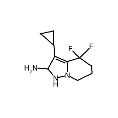 NC1NN2CCCC(F)(F)C2=C1C1CC1